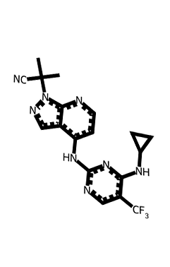 CC(C)(C#N)n1ncc2c(Nc3ncc(C(F)(F)F)c(NC4CC4)n3)ccnc21